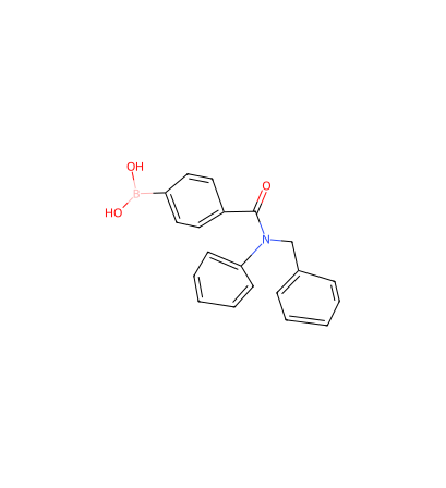 O=C(c1ccc(B(O)O)cc1)N(Cc1ccccc1)c1ccccc1